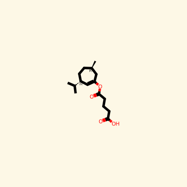 CC(C)[C@H]1C=C(OC(=O)CCCC(=O)O)C[C@H](C)CC1